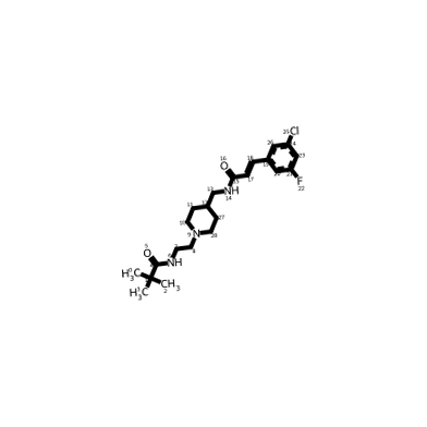 CC(C)(C)C(=O)NCCN1CCC(CNC(=O)/C=C/c2cc(F)cc(Cl)c2)CC1